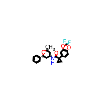 C[C@@H]1C[C@H](NC(=O)C2(c3ccc4c(c3)OC(F)(F)O4)CC2)C[C@H](c2ccccc2)O1